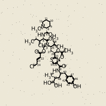 CCC(C)[C@H](NC(=O)[C@H]1CCCCN1C)C(=O)N(COC(=O)/C=C/CCl)[C@H](C[C@@H](OC(C)=O)c1nc(C(=O)N[C@@H](Cc2ccc(O)cc2)C[C@H](C)C(O)O)cs1)C(C)C